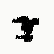 CCOC(C)(C)CCC(=O)NC(CCC(=O)NC(CCC(=O)NCCOCCOC(O)/C(NC(C)=O)=C(\O)CO)C(=O)NCCOCCOC(O)/C(NC(C)=O)=C(\O)CO)C(=O)NCCOCCOC(O)/C(NC(C)=O)=C(/O)CO